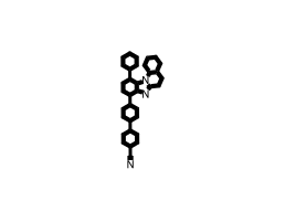 N#Cc1ccc(-c2ccc(-c3ccc(-c4ccccc4)c4c3nc3ccc5ccccc5n34)cc2)cc1